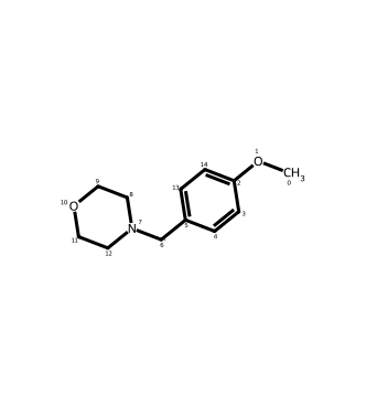 COc1ccc([CH]N2CCOCC2)cc1